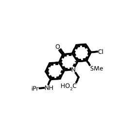 CSc1c(Cl)ccc2c(=O)c3ccc(NC(C)C)cc3n(CC(=O)O)c12